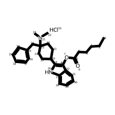 CCCCCC(=O)Oc1c(C2CCC(Cc3ccccc3)(N(C)C)CC2)[nH]c2ccccc12.Cl